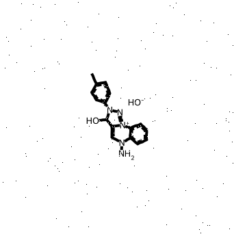 Cc1ccc(N2N=[N+]3C(=CN(N)c4ccccc43)C2O)cc1.[OH-]